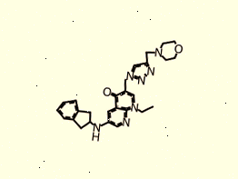 CCn1cc(Cn2cc(CN3CCOCC3)nn2)c(=O)c2cc(NC3Cc4ccccc4C3)cnc21